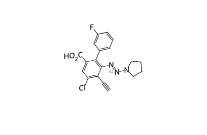 C#Cc1c(Cl)cc(C(=O)O)c(-c2cccc(F)c2)c1/N=N/N1CCCC1